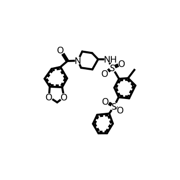 Cc1ccc(S(=O)(=O)c2ccccc2)cc1S(=O)(=O)NC1CCN(C(=O)c2ccc3c(c2)OCO3)CC1